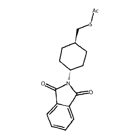 CC(=O)SC[C@H]1CC[C@H](N2C(=O)c3ccccc3C2=O)CC1